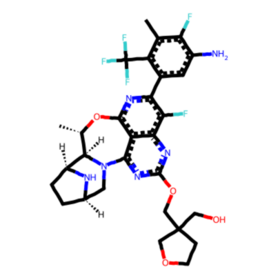 Cc1c(F)c(N)cc(-c2nc3c4c(nc(OCC5(CO)CCOC5)nc4c2F)N2C[C@H]4CC[C@H](N4)[C@H]2[C@H](C)O3)c1C(F)(F)F